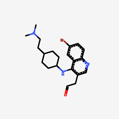 CN(C)CCC1CCC(Nc2c(CC=O)cnc3ccc(Br)cc23)CC1